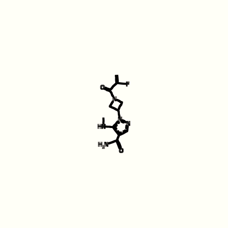 C=C(F)C(=O)N1CC(n2ncc(C(N)=O)c2NC)C1